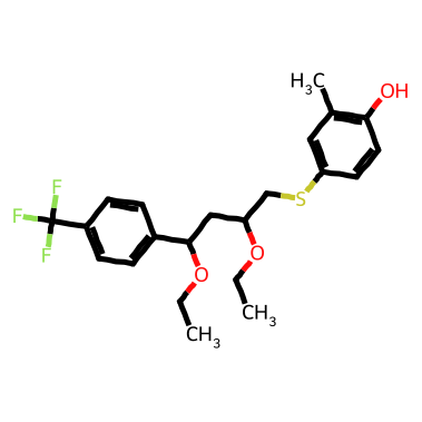 CCOC(CSc1ccc(O)c(C)c1)CC(OCC)c1ccc(C(F)(F)F)cc1